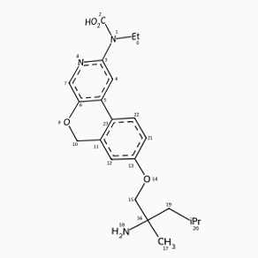 CCN(C(=O)O)c1cc2c(cn1)OCc1cc(OCC(C)(N)CC(C)C)ccc1-2